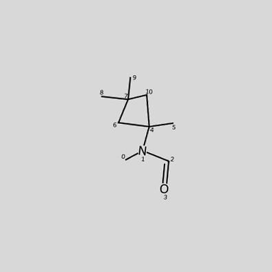 CN(C=O)C1(C)CC(C)(C)C1